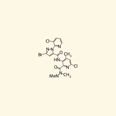 CNN(C)C(=O)c1nc(Cl)cc(C)c1NC(=O)c1cc(Br)nn1-c1ncccc1Cl